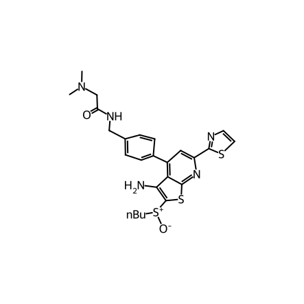 CCCC[S+]([O-])c1sc2nc(-c3nccs3)cc(-c3ccc(CNC(=O)CN(C)C)cc3)c2c1N